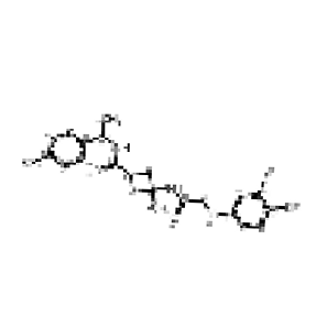 C[C@@H](NC(=O)C1CC(C)(NC(=O)COc2ccc(Cl)c(F)c2)C1)c1ccc(Cl)cc1